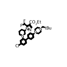 CCOC(=O)c1cnn(C2CCCN(c3cc(Cl)ccc3-c3ccc(N4CCN(CC(C)(C)C)CC4)cc3)C2)c1C(F)F